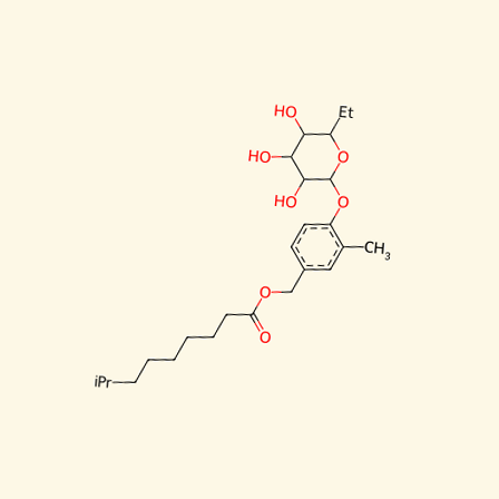 CCC1OC(Oc2ccc(COC(=O)CCCCCCC(C)C)cc2C)C(O)C(O)C1O